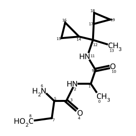 CC(NC(=O)C(N)CC(=O)O)C(=O)NC(C)(C1CC1)C1CC1